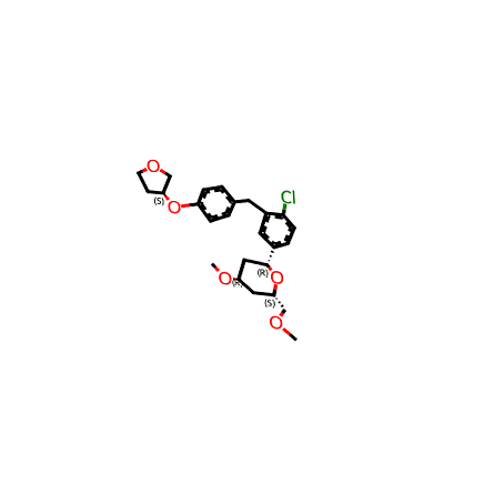 COC[C@@H]1C[C@H](OC)C[C@H](c2ccc(Cl)c(Cc3ccc(O[C@H]4CCOC4)cc3)c2)O1